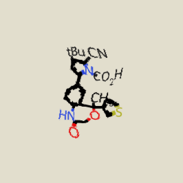 CC(C)(C)c1cc(-c2ccc3c(c2)C(C)(c2ccsc2)OCC(=O)N3)n(C(=O)O)c1C#N